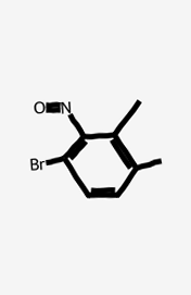 Cc1ccc(Br)c(N=O)c1C